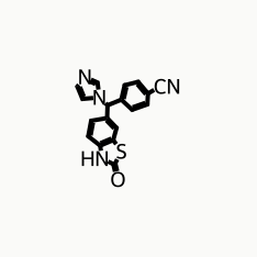 N#Cc1ccc(C(c2ccc3[nH]c(=O)sc3c2)n2ccnc2)cc1